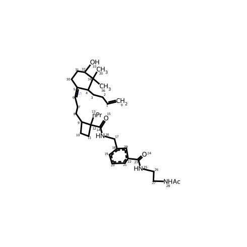 C=CCCC1/C(=C\CCC2CCC2(CCC)C(=O)NCc2cccc(C(=O)NCCNC(C)=O)c2)CCC(O)C1(C)C